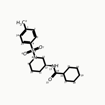 Cc1ccc(S(=O)(=O)N2CCC[C@H](NC(=O)C3CCCCC3)C2)cc1